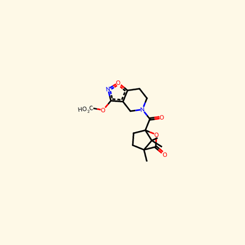 CC12CCC(C(=O)N3CCc4onc(OC(=O)O)c4C3)(OC1=O)C2(C)C